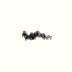 CCCC1CCC(C2CCC(C(F)(F)Oc3cc(F)c(C(F)(F)Oc4ccc(OC=C(F)F)c(F)c4)c(F)c3)CC2)OC1